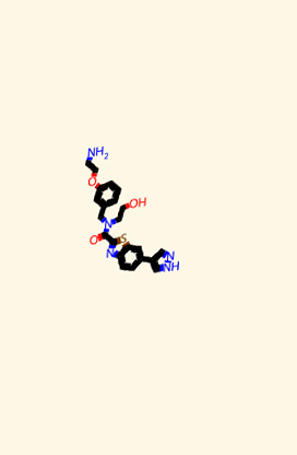 NCCOc1cccc(CN(CCO)C(=O)c2nc3ccc(-c4cn[nH]c4)cc3s2)c1